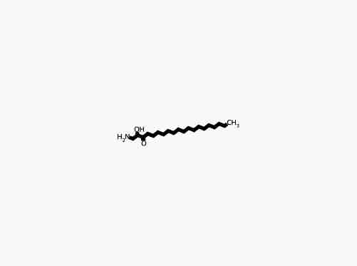 CCCCCCCCCCCCCCCCCC(=O)C(O)CN